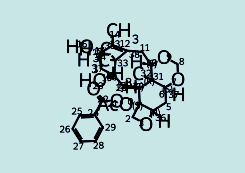 CC(=O)O[C@@]12CO[C@@H]1C[C@@H]1OCO[C@H]3CC4=C(C)[C@@H](O)C[C@@](O)([C@@H](OC(=O)c5ccccc5)[C@H]2[C@]31C)C4(C)C